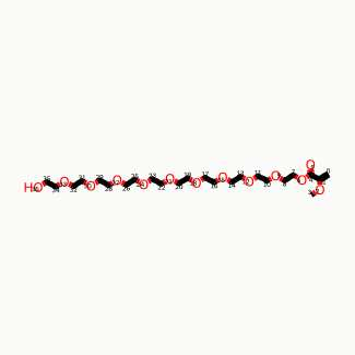 C=C(OC)C(=O)OCCOCCOCCOCCOCCOCCOCCOCCOCCOCCO